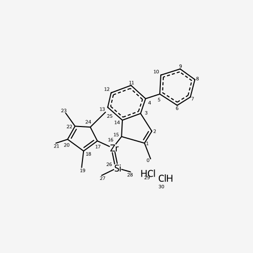 CC1=Cc2c(-c3ccccc3)cccc2[CH]1[Zr]([C]1=C(C)C(C)=C(C)C1C)=[Si](C)C.Cl.Cl